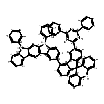 c1ccc(-c2nc(-c3ccccc3)nc(-c3ccc4c(c3)-c3c(-c5ccc6c(c5)c5cc7c8ccccc8n(-c8ccccc8)c7cc5n6-c5ccccc5)cccc3C43c4ccccc4Oc4ccccc43)n2)cc1